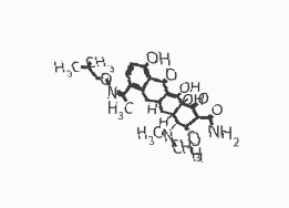 C/C(=N/OCC(C)C)c1ccc(O)c2c1C[C@H]1C[C@H]3[C@H](N(C)C)C(O)C(C(N)=O)C(=O)[C@@]3(O)C(O)=C1C2=O